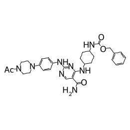 CC(=O)N1CCN(c2ccc(Nc3ncc(C(N)=O)c(NC4CCC(NC(=O)OCc5ccccc5)CC4)n3)cc2)CC1